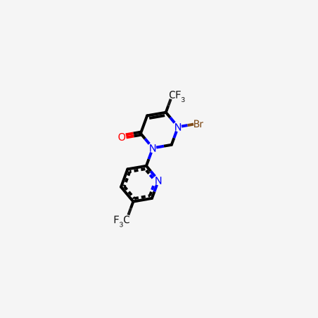 O=C1C=C(C(F)(F)F)N(Br)CN1c1ccc(C(F)(F)F)cn1